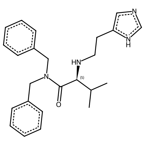 CC(C)[C@H](NCCc1cnc[nH]1)C(=O)N(Cc1ccccc1)Cc1ccccc1